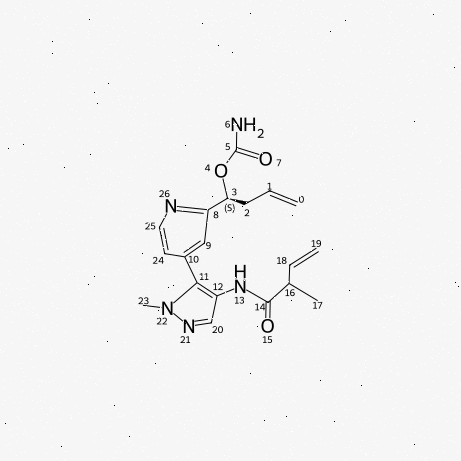 C=CC[C@H](OC(N)=O)c1cc(-c2c(NC(=O)C(C)C=C)cnn2C)ccn1